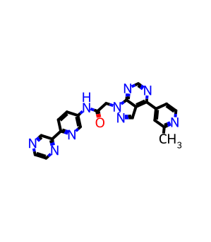 Cc1cc(-c2ncnc3c2cnn3CC(=O)Nc2ccc(-c3cnccn3)nc2)ccn1